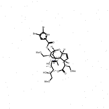 COC[C@@H]1[C@@H](O)[C@@H]2C[C@@H](O[C@@H]3C=C[C@@H]4[C@@H](COC)C(=O)O[C@H]([C@H](O)COC)[C@H](C)/C=C(\C)[C@@]432)[C@@H]1OC(=O)c1cc(Br)c(Br)[nH]1